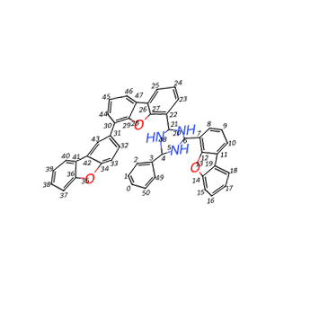 c1ccc(C2NC(c3cccc4c3oc3ccccc34)NC(c3cccc4c3oc3c(-c5ccc6oc7ccccc7c6c5)cccc34)N2)cc1